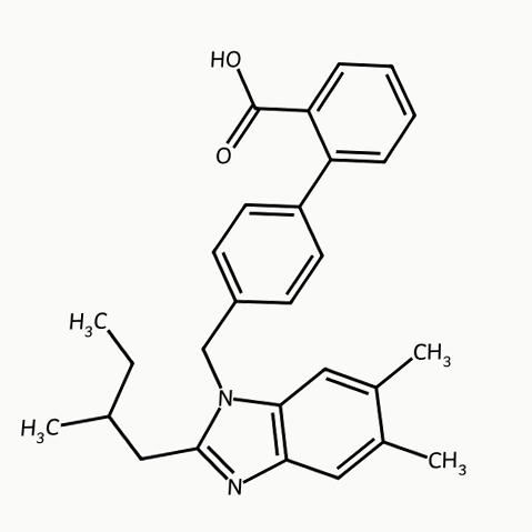 CCC(C)Cc1nc2cc(C)c(C)cc2n1Cc1ccc(-c2ccccc2C(=O)O)cc1